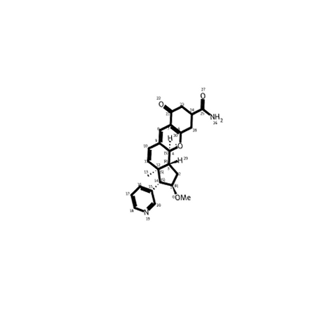 CO[C@@H]1C[C@H]2[C@@H]3OC4=C(C=C3C=C[C@]2(C)[C@H]1c1cccnc1)C(=O)CC(C(N)=O)C4